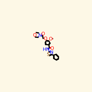 COc1cc(C(=O)Nc2nc(-c3ccccc3)cs2)ccc1OCC(=O)N1CCOCC1